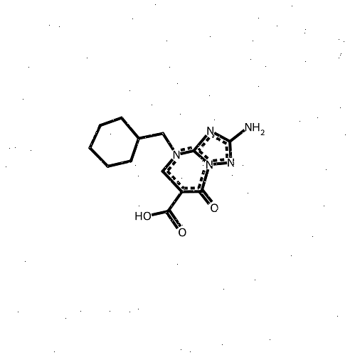 Nc1nc2n(CC3CCCCC3)cc(C(=O)O)c(=O)n2n1